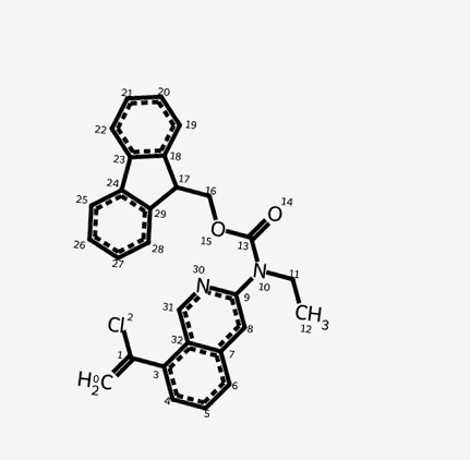 C=C(Cl)c1cccc2cc(N(CC)C(=O)OCC3c4ccccc4-c4ccccc43)ncc12